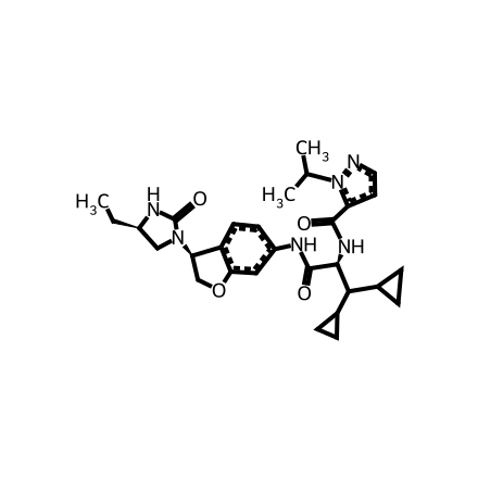 CC[C@@H]1CN([C@@H]2COc3cc(NC(=O)[C@@H](NC(=O)c4ccnn4C(C)C)C(C4CC4)C4CC4)ccc32)C(=O)N1